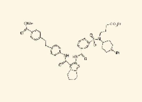 CCOC(=O)CCCN(C1CCN(C(C)C)CC1)S(=O)(=O)c1cccc(C(=O)Nc2sc3c(c2C(=O)Nc2ccc(CCc4ccc(C(=O)OC)cc4)cc2)CCCC3)c1